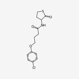 O=C(CCCOc1ccc(Cl)cc1)NC1CCSC1=O